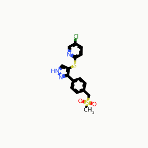 CS(=O)(=O)Cc1ccc(-c2n[nH]cc2Sc2ccc(Cl)cn2)cc1